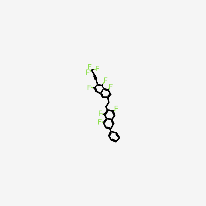 Fc1cc2cc(CCc3c(F)cc4cc(-c5ccccc5)cc(F)c4c3F)cc(F)c2c(F)c1C#CC(F)(F)F